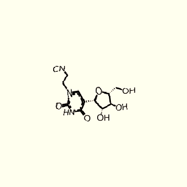 [C-]#[N+]CCn1cc([C@@H]2O[C@H](CO)C(O)[C@@H]2O)c(=O)[nH]c1=O